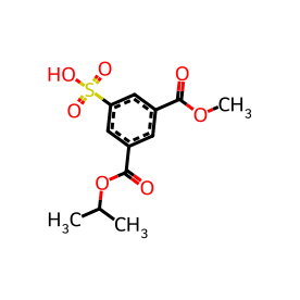 COC(=O)c1cc(C(=O)OC(C)C)cc(S(=O)(=O)O)c1